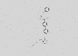 CC(C)(C)C(=O)OCOC(=O)CC1(C)C(=O)NCC1COc1ccc(-c2ccc(C(=N)NC(=O)OCc3ccccc3)cc2)cc1